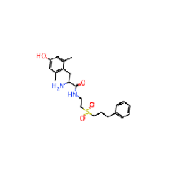 Cc1cc(O)cc(C)c1CC(N)C(=O)NCCS(=O)(=O)CCCc1ccccc1